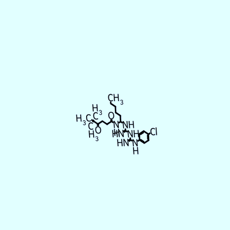 CCCCCC(NC(=N)NC(=N)Nc1ccc(Cl)cc1)NC(=O)CCC(=O)C(C)(C)C